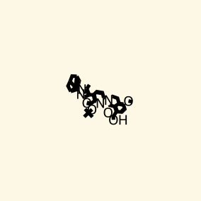 COc1ccc(C(=O)O)c2c1CCN(c1ccc(-c3cnn(C45CC6CC(CC(C6)C4)C5)c3C)c(C(=O)OC(C)(C)C)n1)C2